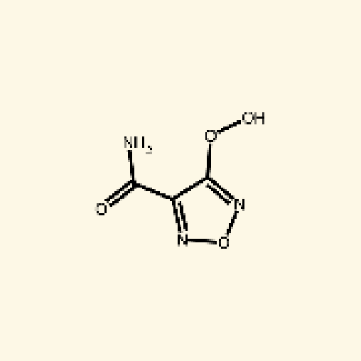 NC(=O)c1nonc1OO